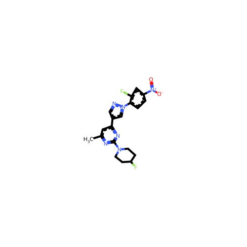 Cc1cc(-c2cnn(-c3ccc([N+](=O)[O-])cc3F)c2)nc(N2CCC(F)CC2)n1